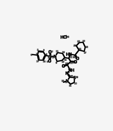 Cc1ccc(S(=O)(=O)N2CCC(C(NC(=O)C3CCCCC3)C(=O)C(=O)N/N=C3\SCCN3C)CC2)cc1.Cl